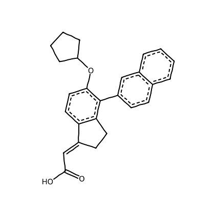 O=C(O)C=C1CCc2c1ccc(OC1CCCC1)c2-c1ccc2ccccc2c1